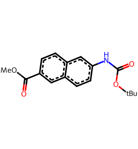 COC(=O)c1ccc2cc(NC(=O)OC(C)(C)C)ccc2c1